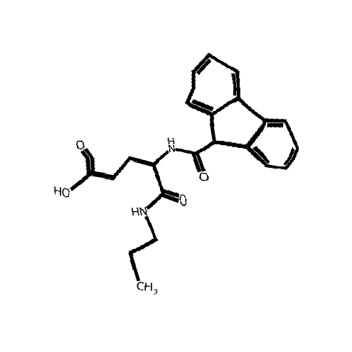 CCCNC(=O)C(CCC(=O)O)NC(=O)C1c2ccccc2-c2ccccc21